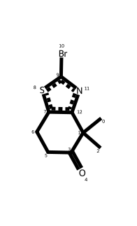 CC1(C)C(=O)CCc2sc(Br)nc21